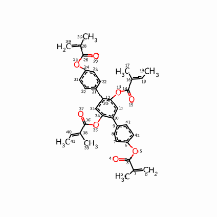 C=C(C)C(=O)Oc1ccc(-c2cc(OC(=O)/C(C)=C/C)c(-c3ccc(OC(=O)C(=C)C)cc3)cc2OC(=O)/C(C)=C/C)cc1